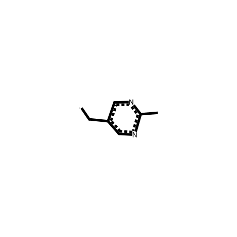 [CH2]Cc1cnc(C)nc1